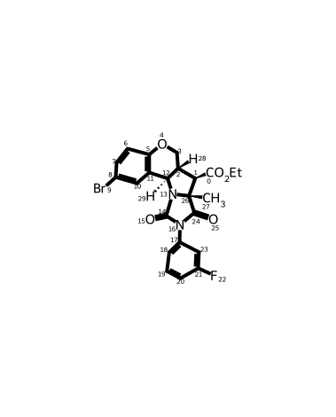 CCOC(=O)[C@@H]1[C@H]2COc3ccc(Br)cc3[C@@H]2N2C(=O)N(c3cccc(F)c3)C(=O)[C@@]12C